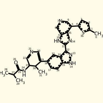 Cc1ccc(-c2cncc3[nH]c(-c4n[nH]c5ccc(C6=CN=CC(NC(=O)C(C)C)C6C)cc45)nc23)s1